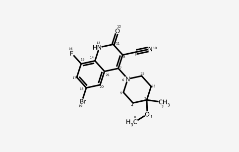 COC1(C)CCN(c2c(C#N)c(=O)[nH]c3c(F)cc(Br)cc23)CC1